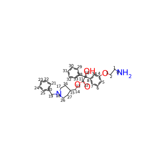 NCCOc1cccc(C(O)(C(=O)OCC2CCN(Cc3ccccc3)CC2)c2ccccc2)c1